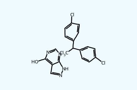 Clc1ccc(C(c2ccc(Cl)cc2)C(Cl)(Cl)Cl)cc1.Oc1ncnc2[nH]ncc12